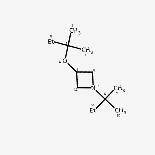 CCC(C)(C)OC1CN(C(C)(C)CC)C1